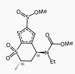 CCN(C(=O)OC)[C@H]1C[C@H](C)S(=O)(=O)c2sc(S(=O)OC)cc21